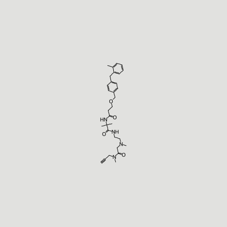 C#CCN(C)C(=O)CN(C)CCNC(=O)C(C)(C)NC(=O)CCOCc1ccc(Cc2ccccc2C)cc1